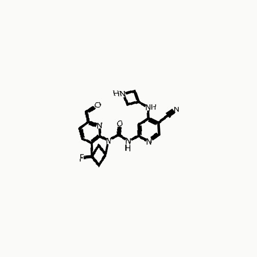 N#Cc1cnc(NC(=O)N2c3nc(C=O)ccc3C3(F)CC2C3)cc1NC1CNC1